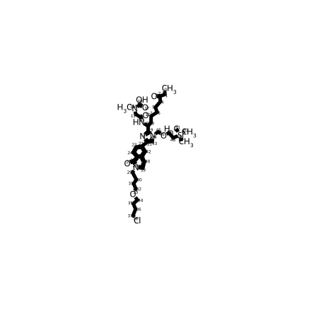 CCC(=O)CCCCCC(NC(=O)CN(C)C(=O)O)c1nc(-c2ccc3c(=O)n(CCCCOCCCCCl)ccc3c2)cn1COCC[Si](C)(C)C